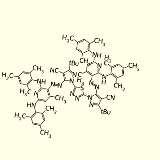 Cc1cc(C)c(Nc2cc(C)c(N=Nc3c(C#N)c(C(C)(C)C)nn3-c3nnc(-n4nc(C(C)(C)C)c(C#N)c4N=Nc4c(C)cc(Nc5c(C)cc(C)cc5C)nc4Nc4c(C)cc(C)cc4C)s3)c(Nc3c(C)cc(C)cc3C)n2)c(C)c1